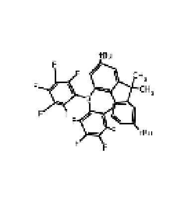 CC(C)(C)c1ccc2c(c1)C(C)(C)c1cc(C(C)(C)C)cc(B(c3c(F)c(F)c(F)c(F)c3F)c3c(F)c(F)c(F)c(F)c3F)c1-2